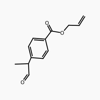 C=CCOC(=O)c1ccc(C(C)C=O)cc1